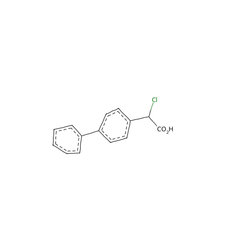 O=C(O)C(Cl)c1ccc(-c2ccccc2)cc1